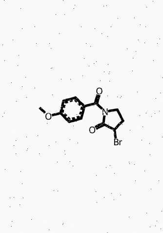 COc1ccc(C(=O)N2CCC(Br)C2=O)cc1